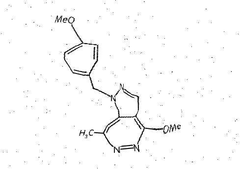 COc1ccc(Cn2ncc3c(OC)nnc(C)c32)cc1